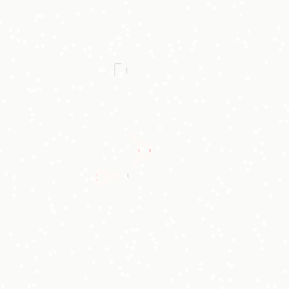 CCC=COC(=O)C(C)=C(C)C